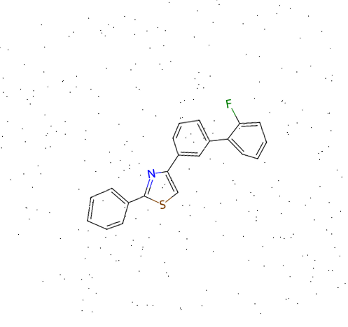 Fc1ccccc1-c1cccc(-c2csc(-c3ccccc3)n2)c1